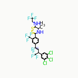 CC(NC(=S)c1ccc(/C(F)=C/C(c2cc(Cl)c(Cl)c(Cl)c2)C(F)(F)F)cc1C(F)(F)F)C(=S)NCC(F)(F)F